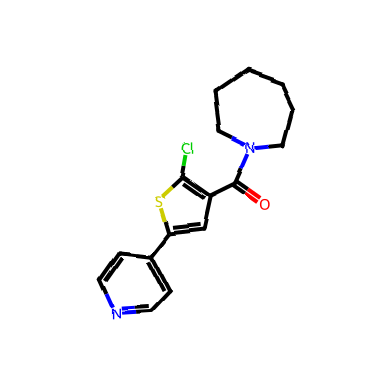 O=C(c1cc(-c2ccncc2)sc1Cl)N1CCCCCC1